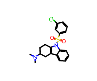 CN(C)C1CCc2c(c3ccccc3n2S(=O)(=O)c2cccc(Cl)c2)C1